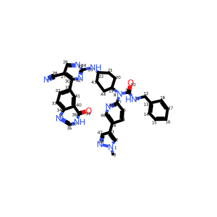 Cn1cc(-c2ccc(N(C(=O)NCc3ccccc3)C3CCC(Nc4ncc(C#N)c(-c5ccc6nc[nH]c(=O)c6c5)n4)CC3)nc2)cn1